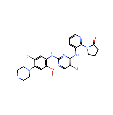 COc1cc(N2CCNCC2)c(Cl)cc1Nc1ncc(Cl)c(Nc2cccnc2N2CCCC2=O)n1